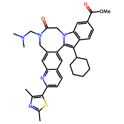 COC(=O)c1ccc2c(C3CCCCC3)c3n(c2c1)CC(=O)N(CN(C)C)Cc1cc2nc(-c4sc(C)nc4C)ccc2cc1-3